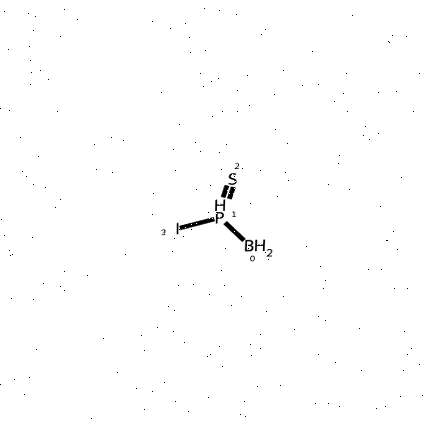 B[PH](=S)I